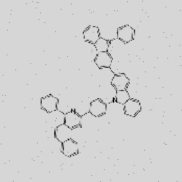 c1ccc(-c2nc(-c3ccc(-n4c5ccccc5c5ccc(-c6ccc7c8ccccc8n(-c8ccccc8)c7c6)cc54)cc3)nc3c2ccc2ccccc23)cc1